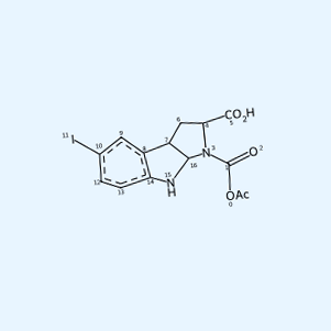 CC(=O)OC(=O)N1C(C(=O)O)CC2c3cc(I)ccc3NC21